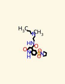 CCCCN(C)CCCNC(=O)c1cc(=O)[nH]c2ccc(S(=O)(=O)N3CCCC3)cc12